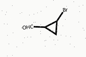 O=[C]C1CC1Br